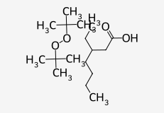 CC(C)(C)OOC(C)(C)C.CCCCC(CC)CC(=O)O